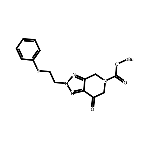 CC(C)(C)OC(=O)N1CC(=O)c2nn(CCSc3ccccc3)nc2C1